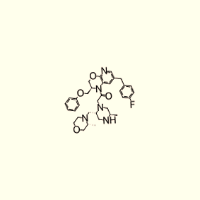 C[C@@H]1CN(CC(=O)N2c3cc(Cc4ccc(F)cc4)cnc3OC[C@@H]2COc2ccccc2)[C@@H](CN2CCOC[C@H]2C)CN1